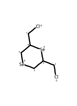 ClCC1C[Se]CC(CCl)[Se]1